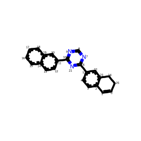 C1=Cc2ccc(-c3ncnc(-c4ccc5ccccc5c4)n3)cc2CC1